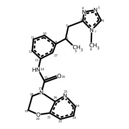 CC(Cc1nncn1C)c1cccc(NC(=O)N2CCOc3cccnc32)c1